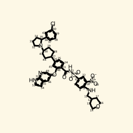 O=C(NS(=O)(=O)c1ccc(NCC2CCOCC2)c([N+](=O)[O-])c1)c1ccc(C2CCC(N3CCCC3c3cccc(Cl)c3)CC2)cc1Oc1cnc2[nH]ccc2c1